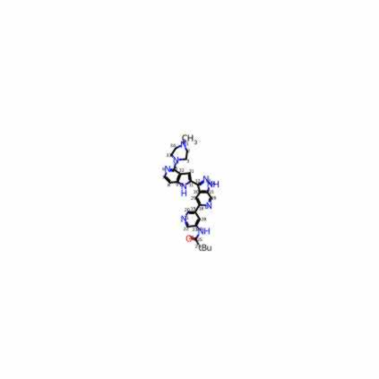 CN1CCN(c2nccc3[nH]c(-c4n[nH]c5cnc(-c6cncc(NC(=O)C(C)(C)C)c6)cc45)cc23)CC1